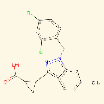 Cc1ccc2c(C3CC3C(=O)O)nn(Cc3ccc(Cl)cc3Cl)c2c1